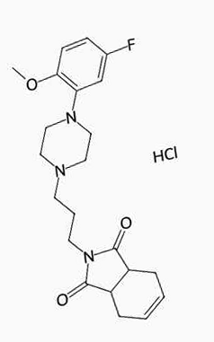 COc1ccc(F)cc1N1CCN(CCCN2C(=O)C3CC=CCC3C2=O)CC1.Cl